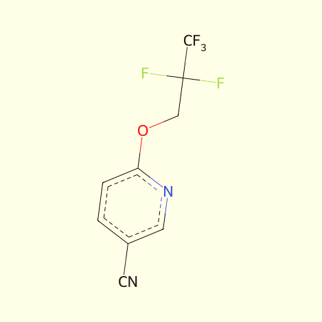 N#Cc1ccc(OCC(F)(F)C(F)(F)F)nc1